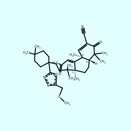 COCc1nnc(C2(CCC(C)(C)[C@]3(C)CC[C@H]4C(C)(C)C(=O)C(C#N)=C[C@]4(C)/C3=C/C(C)=O)CCC(C)(C)CC2)o1